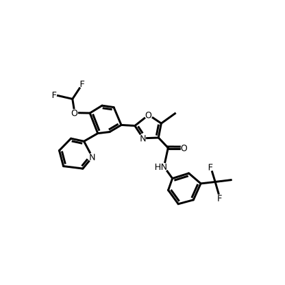 Cc1oc(-c2ccc(OC(F)F)c(-c3ccccn3)c2)nc1C(=O)Nc1cccc(C(C)(F)F)c1